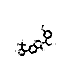 COc1cccc(C(CO)n2cnc3cc(-c4cn[nH]c4C(F)(F)F)ccc3c2=O)c1